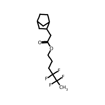 CC(F)(F)C(F)(F)CCCOC(=O)CC1CC2CCC1C2